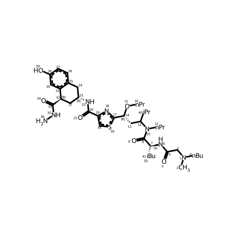 CCCCN(C)CC(=O)N[C@H](C(=O)N(CCC)C(C[C@@H](OCCC)c1nc(C(=O)N[C@H]2Cc3ccc(O)cc3[C@H](C(=O)NN)C2)cs1)C(C)C)[C@@H](C)CC